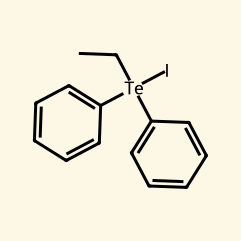 CC[Te](I)(c1ccccc1)c1ccccc1